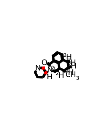 [2H]C1([2H])c2cccc3c2[C@@]([2H])(CN([C@@H]2CN4CCC2CC4)C3=O)C([2H])(C)C1([2H])[2H]